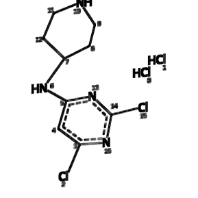 Cl.Cl.Clc1cc(NC2CCNCC2)nc(Cl)n1